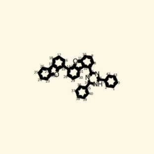 c1ccc(C2=NC(c3cccc4oc5c(-c6cccc7c6oc6ccccc67)cccc5c34)=NC(c3ccccc3)N2)cc1